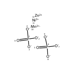 O=P([O-])([O-])[O-].O=P([O-])([O-])[O-].[Mn+2].[Ni+2].[Zn+2]